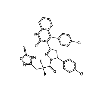 O=C(N1N=C(c2c(-c3ccc(Cl)cc3)c3ccccc3[nH]c2=O)CC1c1ccc(Cl)cc1)C(F)(F)Cc1noc(=S)[nH]1